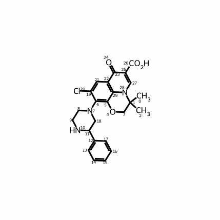 CC1(C)COc2c(N3CCNC(c4ccccc4)C3)c(Cl)cc3c(=O)c(C(=O)O)cn1c23